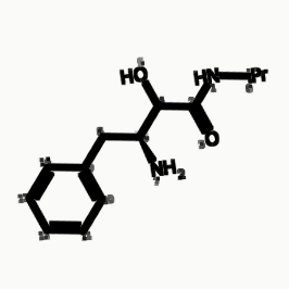 CC(C)NC(=O)C(O)[C@@H](N)Cc1ccccc1